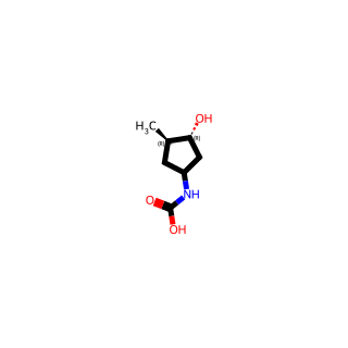 C[C@@H]1CC(NC(=O)O)C[C@H]1O